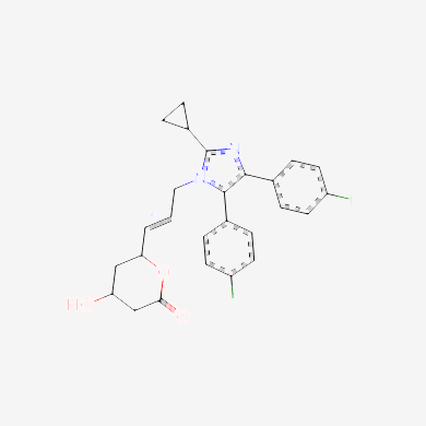 O=C1CC(O)CC(/C=C/Cn2c(C3CC3)nc(-c3ccc(F)cc3)c2-c2ccc(F)cc2)O1